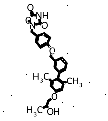 Cc1cc(OCC(C)O)cc(C)c1-c1cccc(COc2ccc(Cn3oc(=O)[nH]c3=O)cc2)c1